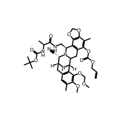 C=CCOC(=O)Oc1c(C)c2c(c3c1CC1[C@@H]4c5c(cc(C)c(OC)c5OCOC)C[C@H]([C@H](C#N)N1[C@H]3CNC(=O)C(C)NC(=O)OC(C)(C)C)N4C)OCO2